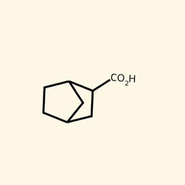 O=C(O)C1CC2CCC1C2